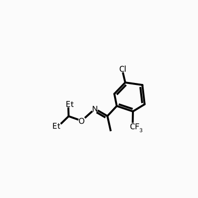 CCC(CC)O/N=C(\C)c1cc(Cl)ccc1C(F)(F)F